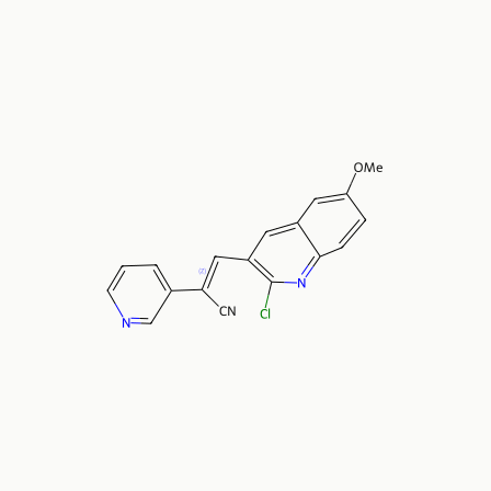 COc1ccc2nc(Cl)c(/C=C(\C#N)c3cccnc3)cc2c1